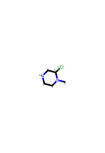 CN1CC[N]CC1Cl